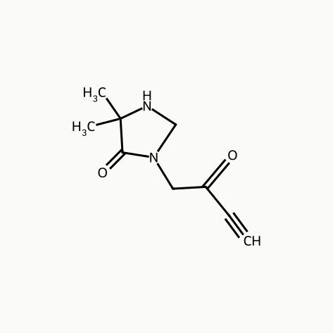 C#CC(=O)CN1CNC(C)(C)C1=O